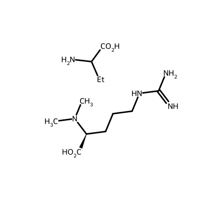 CCC(N)C(=O)O.CN(C)[C@@H](CCCNC(=N)N)C(=O)O